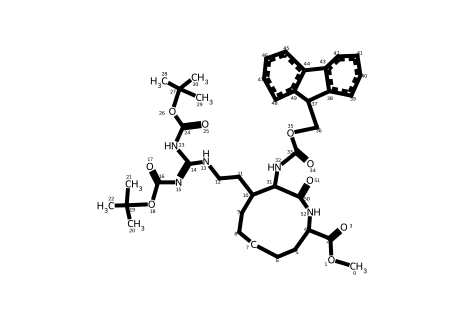 COC(=O)C1CCCCCC(CCNC(=NC(=O)OC(C)(C)C)NC(=O)OC(C)(C)C)C(NC(=O)OCC2c3ccccc3-c3ccccc32)C(=O)N1